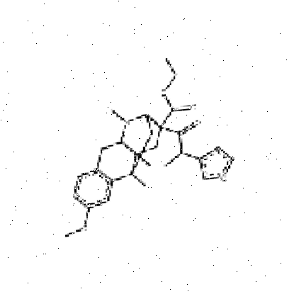 CCOC(=O)C1(C(=O)C(C)c2ccoc2)CC2(C)C3Cc4ccc(OC)cc4C2(C)CC1N3C